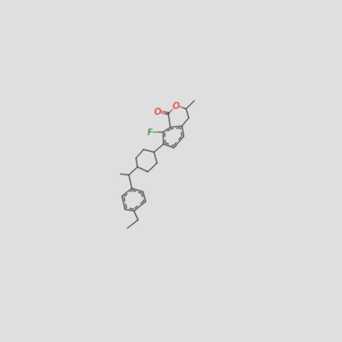 CCc1ccc(C(C)C2CCC(c3ccc4c(c3F)C(=O)OC(C)C4)CC2)cc1